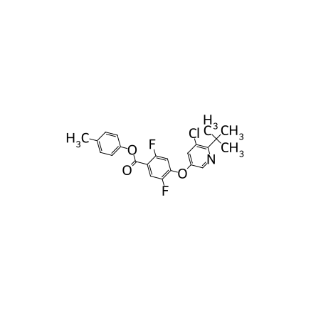 Cc1ccc(OC(=O)c2cc(F)c(Oc3cnc(C(C)(C)C)c(Cl)c3)cc2F)cc1